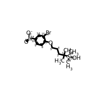 CC(C)(CCCOc1ccc([N+](=O)[O-])cc1Br)[Si](C)(C)O